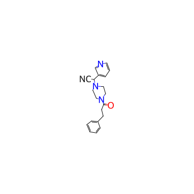 N#CC(c1cccnc1)N1CCN(C(=O)CCc2ccccc2)CC1